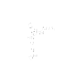 CC(=O)NCCNc1nc(-c2ccccc2)nc2c1CC(COC1CCN(CCc3ccccc3Br)CC1)N2